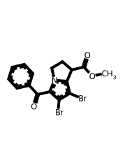 COC(=O)C1CCn2c(C(=O)c3ccccc3)c(Br)c(Br)c21